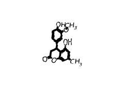 COc1cc(C2CC(=O)Oc3cc(C)cc(O)c32)ccc1O